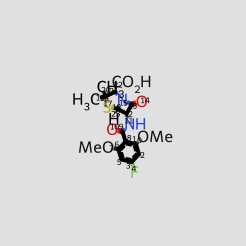 COc1cc(F)cc(OC)c1C(=O)N[C@@H]1C(=O)N2[C@@H]1SC(C)(C)[C@@H]2C(=O)O